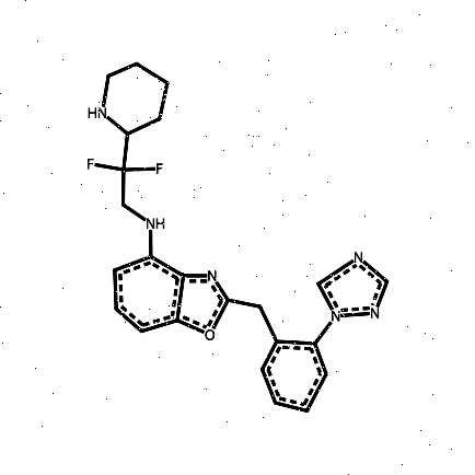 FC(F)(CNc1cccc2oc(Cc3ccccc3-n3cncn3)nc12)C1CCCCN1